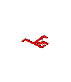 CC(C)=CCCC(C)CCOC(=O)CCCCCCCN(CCCCCCCC(=O)OCCC(C)CCC=C(C)C)CC(O)CN(CCCCCCCC(=O)OCCC(C)CCC=C(C)C)CCCCCCCC(=O)OCCC(C)CCC=C(C)C